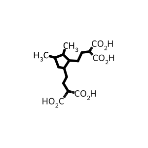 CC1CC(CCC(C(=O)O)C(=O)O)C(CCC(C(=O)O)C(=O)O)C1C